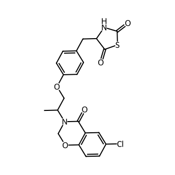 CC(COc1ccc(CC2NC(=O)SC2=O)cc1)N1COc2ccc(Cl)cc2C1=O